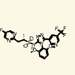 COc1cccc(OC)c1-n1c(NS(=O)(=O)[C@@H](C)Cc2ncc(F)cn2)nnc1-c1cncc(C(F)(F)F)c1